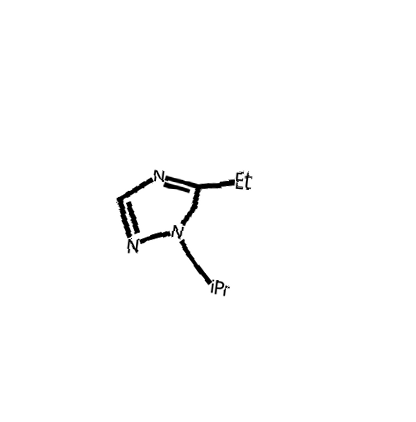 CCc1ncnn1C(C)C